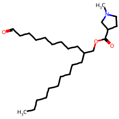 CCCCCCCCCCC(CCCCCCCCC=O)COC(=O)C1CCN(C)C1